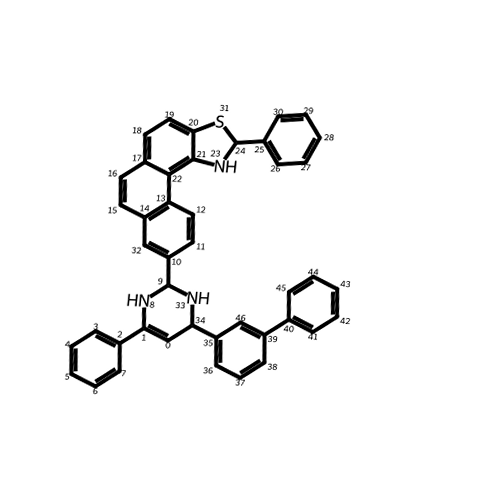 C1=C(c2ccccc2)NC(c2ccc3c(ccc4ccc5c(c43)NC(c3ccccc3)S5)c2)NC1c1cccc(-c2ccccc2)c1